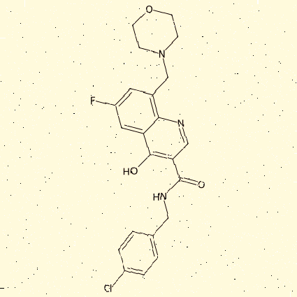 O=C(NCc1ccc(Cl)cc1)c1cnc2c(CN3CCOCC3)cc(F)cc2c1O